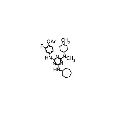 CC(=O)Oc1ccc(Nc2nc(NC3CCCCCC3)nc(N(C)C3CCN(C)CC3)n2)cc1F